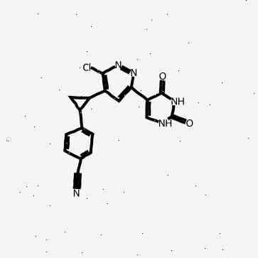 N#Cc1ccc(C2CC2c2cc(-c3c[nH]c(=O)[nH]c3=O)nnc2Cl)cc1